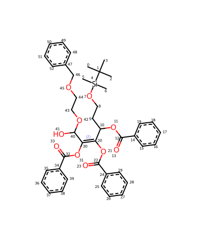 CC(C)(C)[Si](C)(C)OCCC(OC(=O)c1ccccc1)/C(OC(=O)c1ccccc1)=C(/OC(=O)c1ccccc1)C(O)OCCOCc1ccccc1